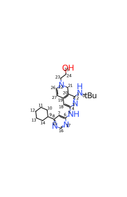 CC(C)(C)Nc1nc(Nc2cc(C3CCCCC3)ncn2)cc2c1CN(CCO)C=C2